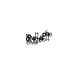 COc1ccc2nccc(N3C[C@H](NCC4CN(c5ccc6c(c5)NC(=O)CS6)C(=O)O4)[C@@H](O)C3)c2n1